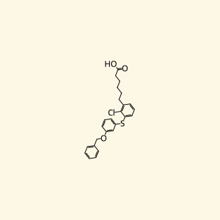 O=C(O)CCCCCc1cccc(Sc2cccc(OCc3ccccc3)c2)c1Cl